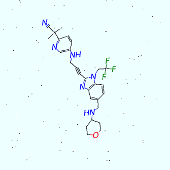 CC(C)(C#N)c1ccc(NCC#Cc2nc3cc(CNC4CCOCC4)ccc3n2CC(F)(F)F)cn1